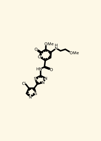 COCCNc1cc(C(=O)Nc2nnc(-c3sncc3Cl)s2)oc(=O)c1OC